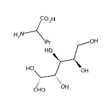 CC(C)C(N)C(=O)O.O=C[C@H](O)[C@@H](O)[C@@H](O)[C@H](O)CO